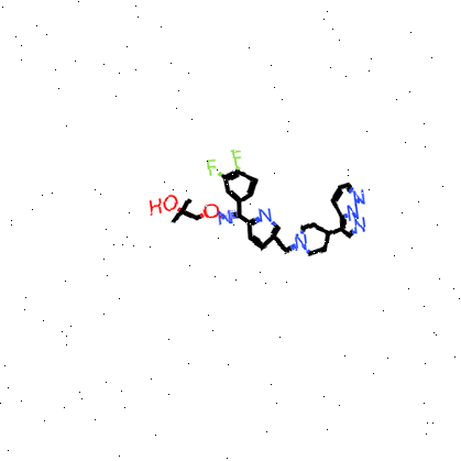 CC(C)(O)CO/N=C(\c1ccc(F)c(F)c1)c1ccc(CN2CCC(c3cnn4ncccc34)CC2)cn1